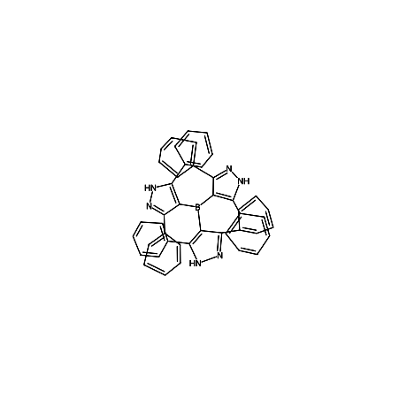 c1ccc(-c2n[nH]c(-c3ccccc3)c2B(c2c(-c3ccccc3)n[nH]c2-c2ccccc2)c2c(-c3ccccc3)n[nH]c2-c2ccccc2)cc1